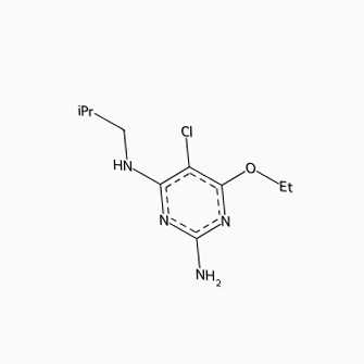 CCOc1nc(N)nc(NCC(C)C)c1Cl